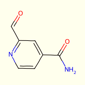 NC(=O)c1ccnc(C=O)c1